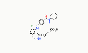 O=C(NC1CCCCCC1)c1ccc(CNc2c(Cl)ccc3c2CCNCC3)cc1.O=C(O)CCC(=O)O